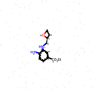 CCOC(=O)c1ccc(N)c(NC[C@@H]2CCO2)c1